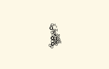 COc1ccc(Cl)c(Oc2c(NS(=O)(=O)c3ccc4c(c3)OCO4)ncnc2OCCOC(=O)NC2=CN(C)CC=C2)c1